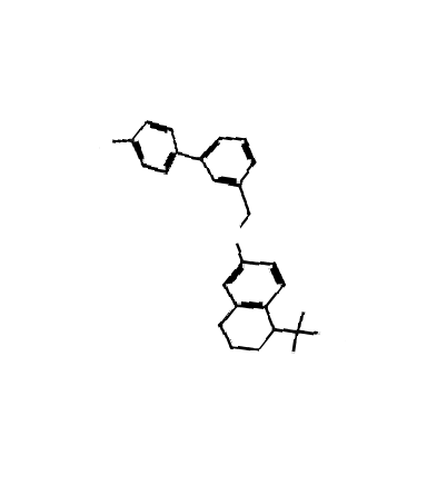 O=C(O)C(F)(F)C1CCCc2cc(OCc3cccc(-c4ccc(C(F)(F)F)cc4)c3)ccc21